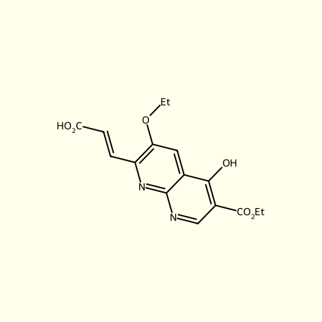 CCOC(=O)c1cnc2nc(/C=C/C(=O)O)c(OCC)cc2c1O